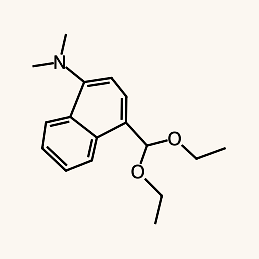 CCOC(OCC)c1ccc(N(C)C)c2ccccc12